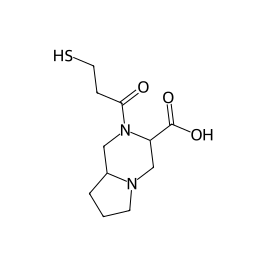 O=C(O)C1CN2CCCC2CN1C(=O)CCS